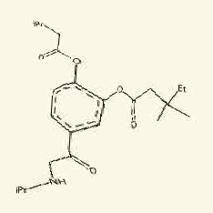 CCC(C)(C)CC(=O)Oc1cc(C(=O)CNC(C)C)ccc1OC(=O)CC(C)C